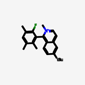 Cc1cc(C)c(F)c(-c2c3ccc(C(C)(C)C)cc3cc[n+]2C)c1C